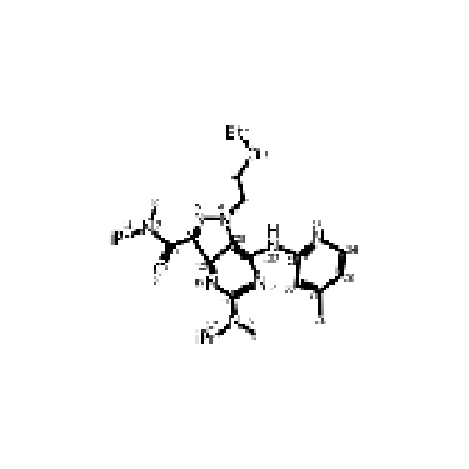 CCOCCn1nc(C(=O)N(C)C(C)C)c2nc(N(C)C(C)C)nc(Nc3cc(C)ccn3)c21